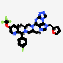 C[C@@H]1CN(c2nc3nncn3c3c2ncn3C[C@@H]2CCCO2)[C@@H](C)CN1[C@@H](c1ccc(F)cc1)c1ccc(OC(F)(F)F)cn1